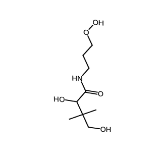 CC(C)(CO)C(O)C(=O)NCCCOO